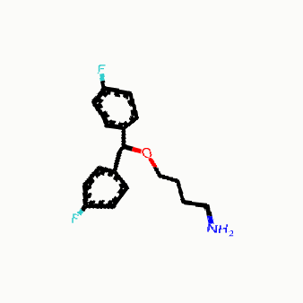 NCCCCOC(c1ccc(F)cc1)c1ccc(F)cc1